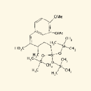 COc1ccc(C=C(C(=O)O)C(C)CC[Si](O[Si](C)(C)C)(O[Si](C)(C)C)O[Si](C)(C)C)cc1OC